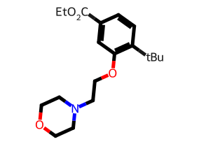 CCOC(=O)c1ccc(C(C)(C)C)c(OCCN2CCOCC2)c1